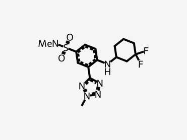 CNS(=O)(=O)c1ccc(NC2CCCC(F)(F)C2)c(-c2nnn(C)n2)c1